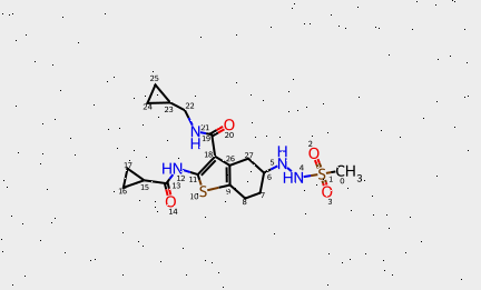 CS(=O)(=O)NNC1CCc2sc(NC(=O)C3CC3)c(C(=O)NCC3CC3)c2C1